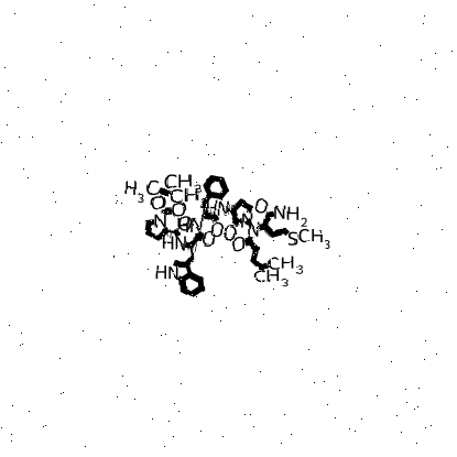 CSCCC(C(N)=O)N(C(=O)CCC(C)C)N1CC[C@H](NC(=O)[C@H](Cc2ccccc2)NC(=O)[C@@H](Cc2c[nH]c3ccccc23)NC(=O)[C@H]2CCCN2C(=O)OC(C)(C)C)C1=O